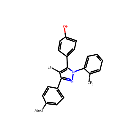 CCc1c(-c2ccc(OC)cc2)nn(-c2ccccc2C(F)(F)F)c1-c1ccc(O)cc1